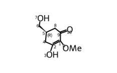 COC1=C(O)C[C@@H](CO)CC1=O